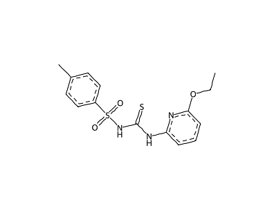 CCOc1cccc(NC(=S)NS(=O)(=O)c2ccc(C)cc2)n1